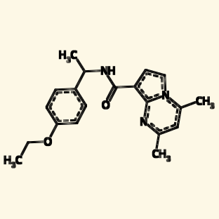 CCOc1ccc(C(C)NC(=O)c2ccn3c(C)cc(C)nc23)cc1